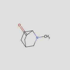 CN1CC2CCC1C(=O)C2